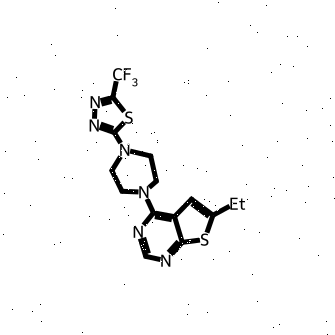 CCc1cc2c(N3CCN(c4nnc(C(F)(F)F)s4)CC3)ncnc2s1